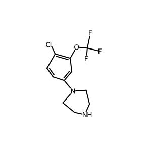 FC(F)(F)Oc1cc(N2CCNCC2)ccc1Cl